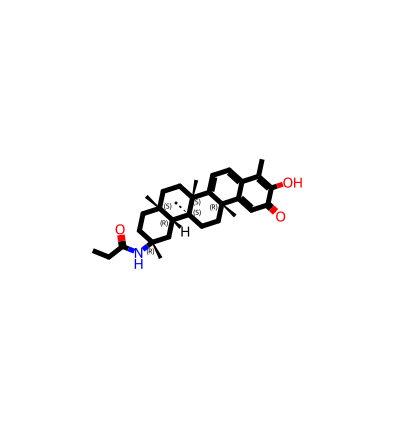 CCC(=O)N[C@]1(C)CC[C@]2(C)CC[C@]3(C)C4=CC=C5C(=CC(=O)C(O)=C5C)[C@]4(C)CC[C@@]3(C)[C@@H]2C1